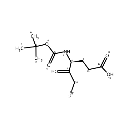 CC(C)(C)OC(=O)N[C@@H](CCC(=O)O)C(=O)CBr